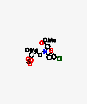 COC(=O)c1ccc2c(c1)N(C[C@@H]1CC[C@H]1[C@@H](OC)[C@H]1CCC[C@@H](OS(C)(=O)=O)C1)CC1(CCCc3cc(Cl)ccc31)CO2